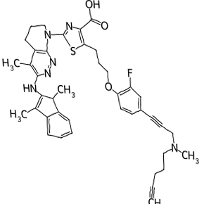 C#CCCCN(C)CC#Cc1ccc(OCCCc2sc(N3CCCc4c3nnc(NC3=C(C)c5ccccc5C3C)c4C)nc2C(=O)O)c(F)c1